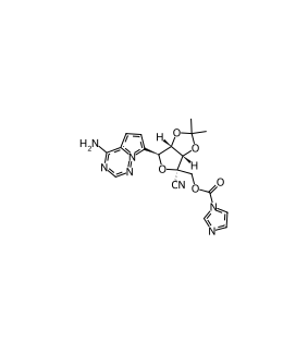 CC1(C)O[C@H]2[C@H](c3ccc4c(N)ncnn34)O[C@](C#N)(COC(=O)n3ccnc3)[C@H]2O1